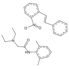 CCN(CC)CC(=O)Nc1c(C)cccc1C.O=[N+]([O-])c1ccccc1C=Cc1ccccc1